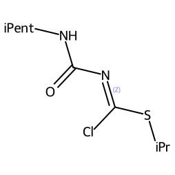 CCCC(C)NC(=O)/N=C(\Cl)SC(C)C